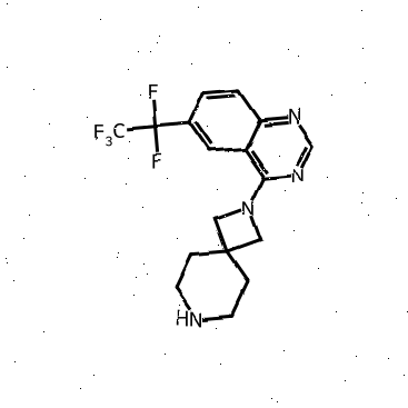 FC(F)(F)C(F)(F)c1ccc2ncnc(N3CC4(CCNCC4)C3)c2c1